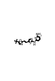 CC(C)(C)c1cnc(C=Cc2cnc(Nc3cccc(N)n3)s2)o1